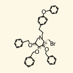 BrC[C@@H]1[C@@H](OCc2ccccc2)[C@H](OCc2ccccc2)[C@@H](OCc2ccccc2)CN1CCc1ccc(Oc2ccccc2)cc1